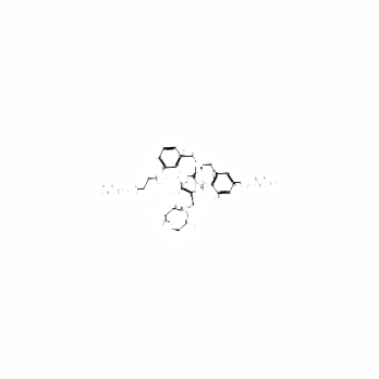 COCCOc1cccc(CN(Cc2cccc(OC)c2)c2nc(CN3CCOCC3)co2)c1